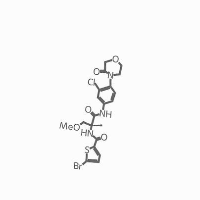 COC[C@@](C)(NC(=O)c1ccc(Br)s1)C(=O)Nc1ccc(N2CCOCC2=O)c(Cl)c1